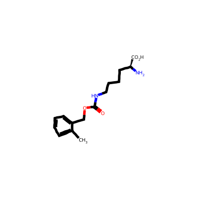 Cc1ccccc1COC(=O)NCCCC[C@H](N)C(=O)O